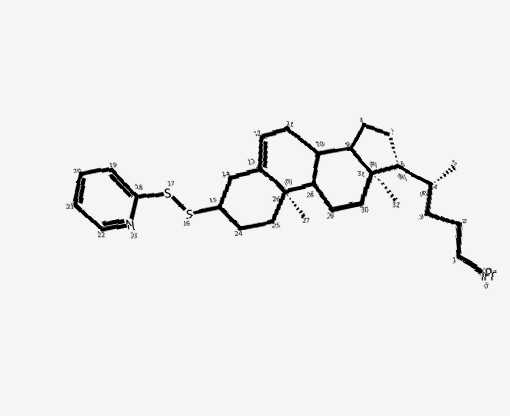 CC(C)CCC[C@@H](C)[C@H]1CCC2C3CC=C4CC(SSc5ccccn5)CC[C@]4(C)C3CC[C@@]21C